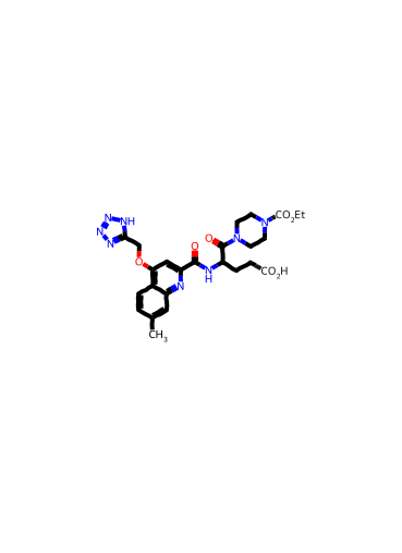 CCOC(=O)N1CCN(C(=O)C(CCC(=O)O)NC(=O)c2cc(OCc3nnn[nH]3)c3ccc(C)cc3n2)CC1